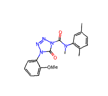 COc1ccccc1-n1nnn(C(=O)N(C)c2cc(C)ccc2C)c1=O